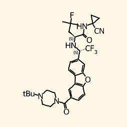 CC(C)(F)C[C@H](N[C@@H](c1ccc2c(c1)oc1ccc(C(=O)N3CCN(C(C)(C)C)CC3)cc12)C(F)(F)F)C(=O)NC1(C#N)CC1